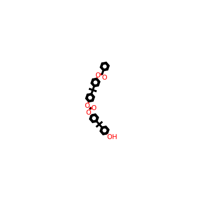 CC(C)(c1ccc(O)cc1)c1ccc(OC(=O)Oc2ccc(C(C)(C)c3ccc(OC(=O)c4ccccc4)cc3)cc2)cc1